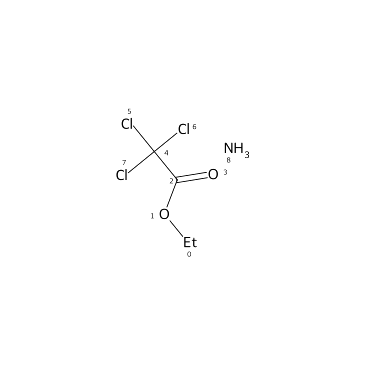 CCOC(=O)C(Cl)(Cl)Cl.N